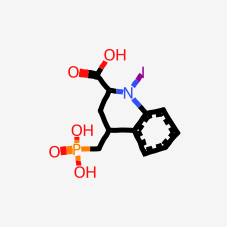 O=C(O)C1CC(CP(=O)(O)O)c2ccccc2N1I